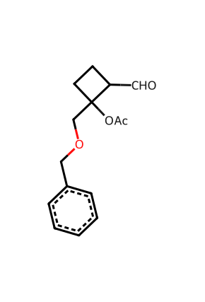 CC(=O)OC1(COCc2ccccc2)CCC1C=O